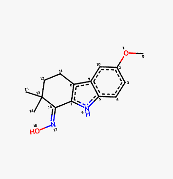 COc1ccc2[nH]c3c(c2c1)CCC(C)(C)C3=NO